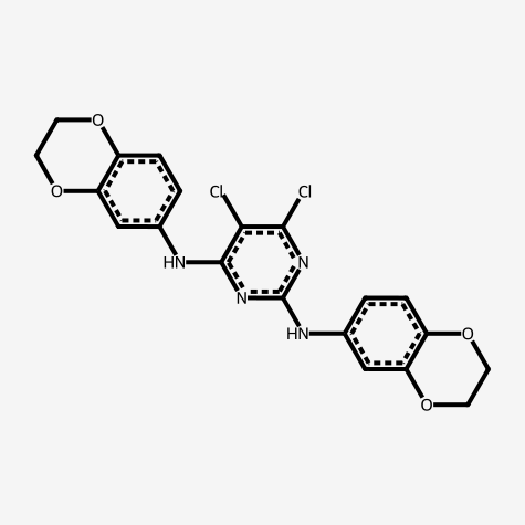 Clc1nc(Nc2ccc3c(c2)OCCO3)nc(Nc2ccc3c(c2)OCCO3)c1Cl